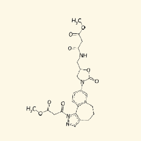 COC(=O)CC(=O)NCC1CN(c2ccc3c(c2)CCCc2cnn(C(=O)CC(=O)OC)c2-3)C(=O)O1